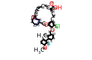 COc1cccc(-c2cccc(COc3cc4c(cc3Cl)CCCC[C@H](C(=O)O)CCCCCCCC(=O)C3=C\CC\C=C/C(=C\3)CO4)c2C)c1F